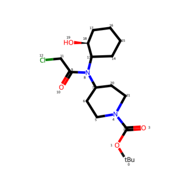 CC(C)(C)OC(=O)N1CCC(N(C(=O)CCl)C2CCCC[C@@H]2O)CC1